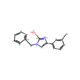 Cc1cccc(-c2cn(Cc3ccccc3)c(O)n2)c1